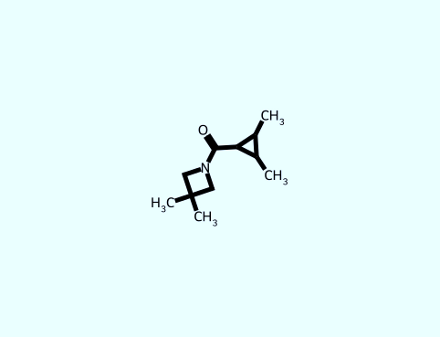 CC1C(C)C1C(=O)N1CC(C)(C)C1